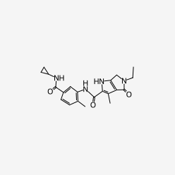 CCN1Cc2[nH]c(C(=O)Nc3cc(C(=O)NC4CC4)ccc3C)c(C)c2C1=O